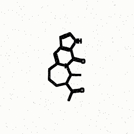 CC(=O)C1CCCc2cc3cc[nH]c3c(=O)n2C1C